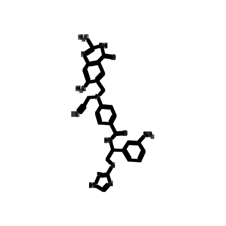 C#CCN(Cc1cc2c(=O)[nH]c(C)nc2cc1C)c1ccc(C(=O)NC(CSc2nc[nH]n2)c2cccc([N+](=O)[O-])c2)cc1